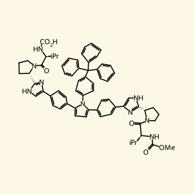 COC(=O)N[C@H](C(=O)N1CCC[C@H]1c1nc(-c2ccc(-c3ccc(-c4ccc(-c5c[nH]c([C@@H]6CCCN6C(=O)[C@@H](NC(=O)O)C(C)C)n5)cc4)n3-c3ccc(C(c4ccccc4)(c4ccccc4)c4ccccc4)cc3)cc2)c[nH]1)C(C)C